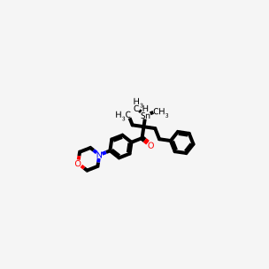 CC[C](CCc1ccccc1)(C(=O)c1ccc(N2CCOCC2)cc1)[SnH]([CH3])[CH3]